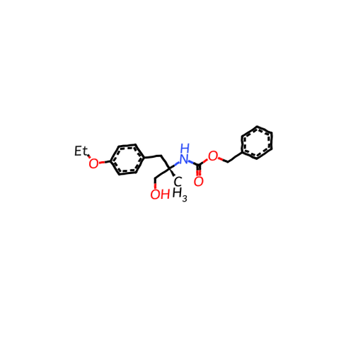 CCOc1ccc(C[C@@](C)(CO)NC(=O)OCc2ccccc2)cc1